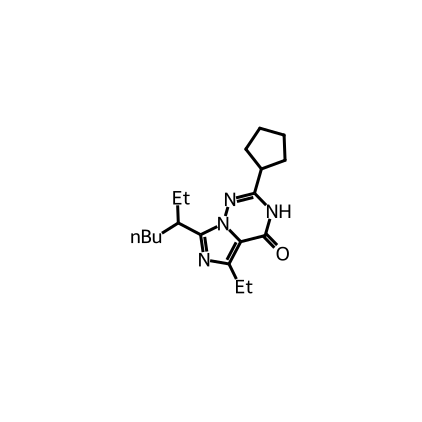 CCCCC(CC)c1nc(CC)c2c(=O)[nH]c(C3CCCC3)nn12